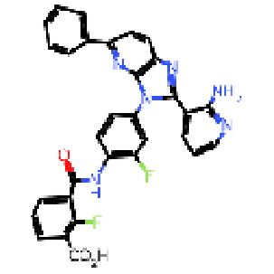 Nc1ncccc1-c1nc2ccc(-c3ccccc3)nc2n1-c1ccc(NC(=O)c2cccc(C(=O)O)c2F)c(F)c1